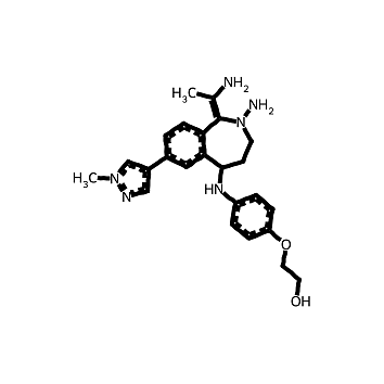 C/C(N)=C1\c2ccc(-c3cnn(C)c3)cc2C(Nc2ccc(OCCO)cc2)CCN1N